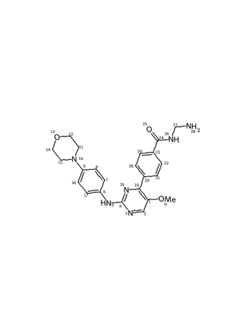 COc1cnc(Nc2ccc(N3CCOCC3)cc2)nc1-c1ccc(C(=O)NCN)cc1